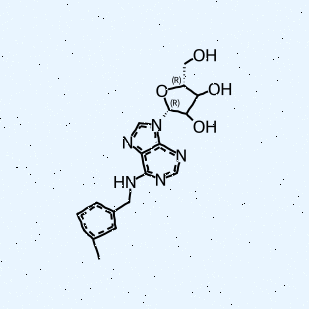 Cc1cccc(CNc2ncnc3c2ncn3[C@@H]2O[C@H](CO)C(O)C2O)c1